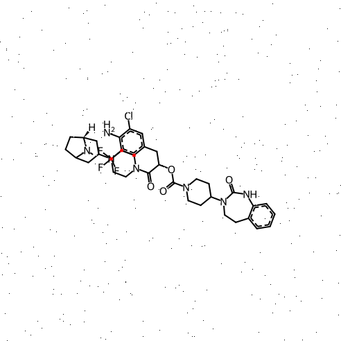 CN1C2CC[C@@H]1CC(N1CCN(C(=O)C(Cc3cc(Cl)c(N)c(C(F)(F)F)c3)OC(=O)N3CCC(N4CCc5ccccc5NC4=O)CC3)CC1)C2